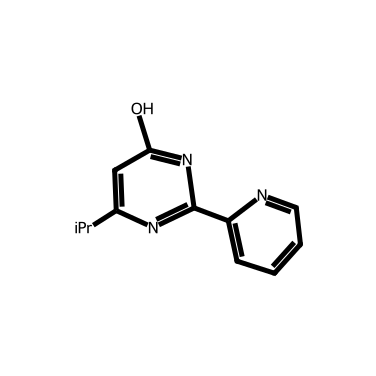 CC(C)c1cc(O)nc(-c2ccccn2)n1